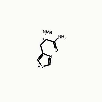 CN[C@@H](Cc1c[nH]cn1)C(N)=O